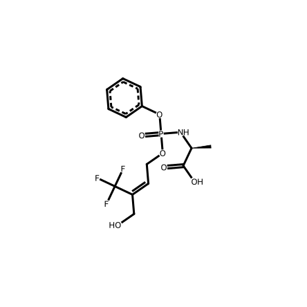 C[C@H](NP(=O)(OC/C=C(/CO)C(F)(F)F)Oc1ccccc1)C(=O)O